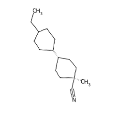 CCC1CCC([C@H]2CC[C@](C)(C#N)CC2)CC1